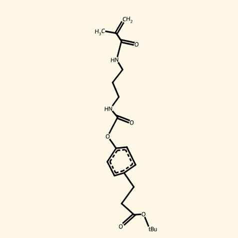 C=C(C)C(=O)NCCCNC(=O)Oc1ccc(CCC(=O)OC(C)(C)C)cc1